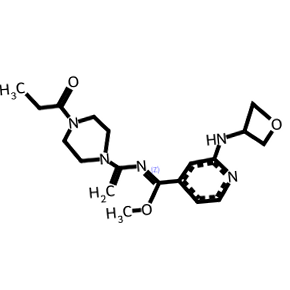 C=C(/N=C(\OC)c1ccnc(NC2COC2)c1)N1CCN(C(=O)CC)CC1